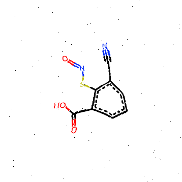 N#Cc1cccc(C(=O)O)c1SN=O